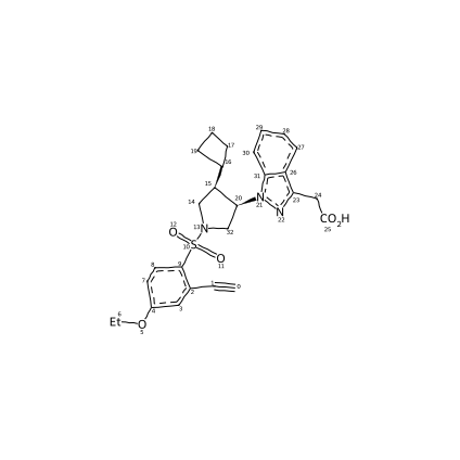 C#Cc1cc(OCC)ccc1S(=O)(=O)N1C[C@@H](C2CCC2)[C@@H](n2nc(CC(=O)O)c3ccccc32)C1